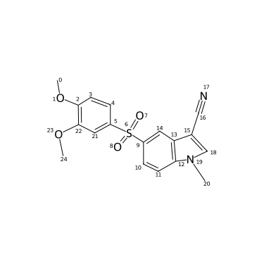 COc1ccc(S(=O)(=O)c2ccc3c(c2)c(C#N)cn3C)cc1OC